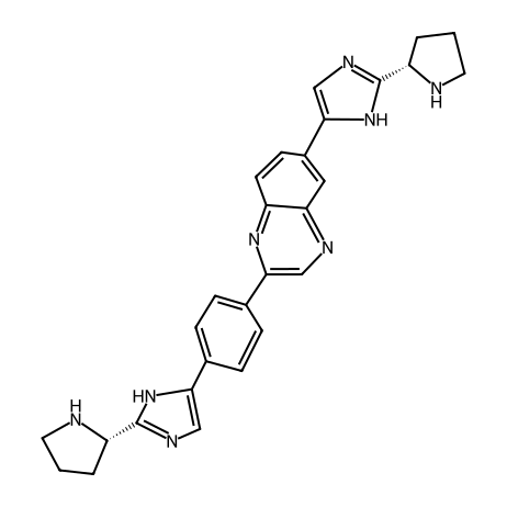 c1cc(-c2cnc([C@@H]3CCCN3)[nH]2)ccc1-c1cnc2cc(-c3cnc([C@@H]4CCCN4)[nH]3)ccc2n1